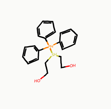 OCC[SH](CCO)[PH](c1ccccc1)(c1ccccc1)c1ccccc1